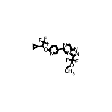 CCOC(F)(F)c1nnc2cnc(-c3ccc(OC(C4CC4)C(F)(F)F)nc3)cn12